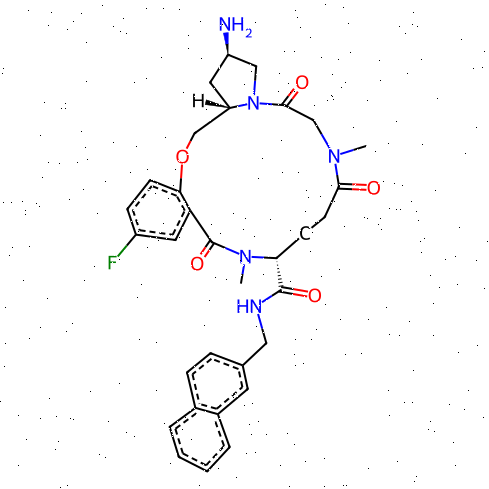 CN1CC(=O)N2C[C@H](N)C[C@H]2COc2ccc(F)cc2C(=O)N(C)[C@@H](C(=O)NCc2ccc3ccccc3c2)CCC1=O